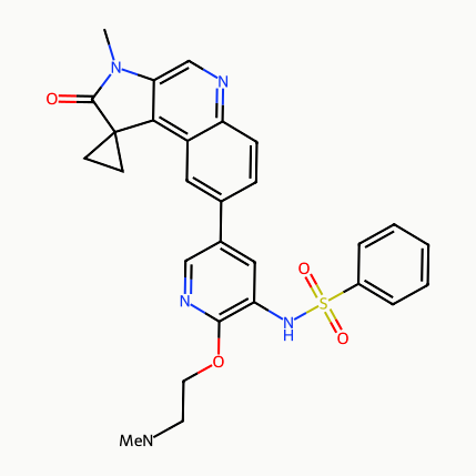 CNCCOc1ncc(-c2ccc3ncc4c(c3c2)C2(CC2)C(=O)N4C)cc1NS(=O)(=O)c1ccccc1